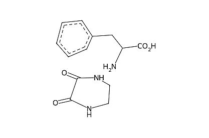 NC(Cc1ccccc1)C(=O)O.O=C1NCCNC1=O